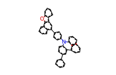 c1ccc(-c2ccc(N(c3ccccc3)c3ccc(-c4cc5c6ccccc6oc5c5ccccc45)cc3)c(-c3ccccc3)c2)cc1